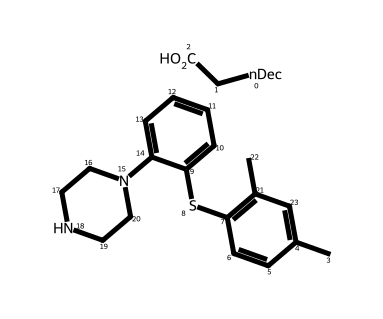 CCCCCCCCCCCC(=O)O.Cc1ccc(Sc2ccccc2N2CCNCC2)c(C)c1